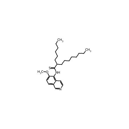 CCCCCCCCC(CCCCCC)C(=S)Nc1c(OC)ccc2cnccc12